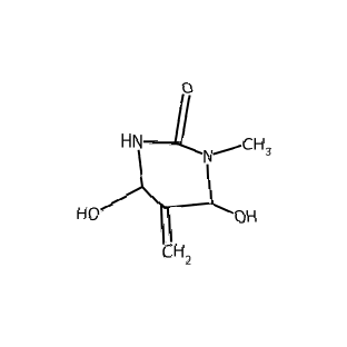 C=C1C(O)NC(=O)N(C)C1O